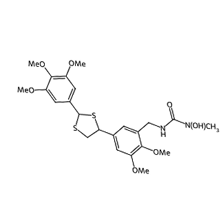 COc1cc(C2CSC(c3cc(OC)c(OC)c(OC)c3)S2)cc(CNC(=O)N(C)O)c1OC